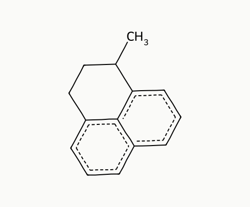 CC1CCc2cccc3cccc1c23